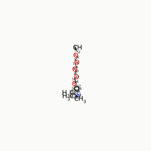 C#CCOCCOCCOCCOCCOc1ccc2c(c1)C(C)(C)C(C)=N2